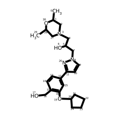 CC1CN(CC(O)Cn2ccc(-c3ccc(CO)c(OC4CCCC4)c3)n2)CC(C)O1